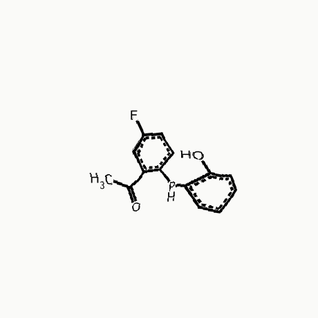 CC(=O)c1cc(F)ccc1Pc1ccccc1O